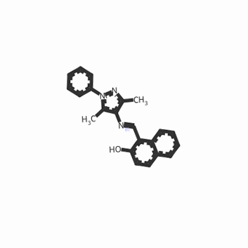 Cc1nn(-c2ccccc2)c(C)c1/N=C/c1c(O)ccc2ccccc12